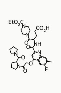 CCOC(=O)N1CCN(C(=O)C(CCC(=O)O)NC(=O)c2cc(OCC(=O)N3CCCC3C(=O)N3CCCC3)c3cc(F)c(C)cc3n2)CC1